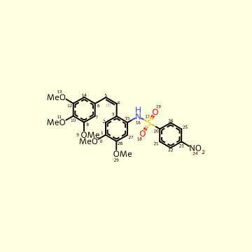 COc1cc(/C=C\c2cc(OC)c(OC)c(OC)c2)c(NS(=O)(=O)c2ccc([N+](=O)[O-])cc2)cc1OC